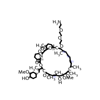 CO[C@@H]1C[C@H](C[C@@H](C)[C@@H]2CC(=O)[C@H](C)/C=C(\C)[C@@H](O)[C@@H](OC)C(=O)[C@H](C)C[C@H](C)/C=C/C=C/C=C(\C)[C@@H](OCCOCCOCCN)C[C@@H]3CC[C@@H](C)[C@@](O)(O3)C(=O)C(=O)N3CCCC[C@H]3C(=O)O2)CC[C@H]1O